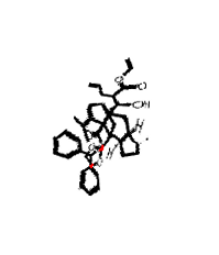 C=CCC(C(=O)OCC)C(O)C12C[C@@H]3[C@H](C)CC[C@H]3C3(C4OCCO4)CC1C=C(C(C)C)C23C(=O)OC(c1ccccc1)c1ccccc1